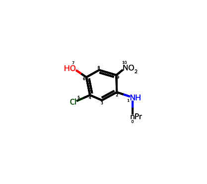 CCCNc1cc(Cl)c(O)cc1[N+](=O)[O-]